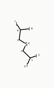 IC(I)CSCC(I)I